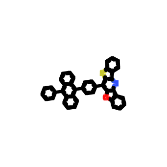 c1ccc(-c2c3ccccc3c(-c3ccc(-c4c5oc6ccccc6c5nc5c4sc4ccccc45)cc3)c3ccccc23)cc1